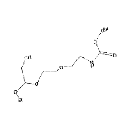 CCOC(CO)OCCOCCNC(=O)OC(C)(C)C